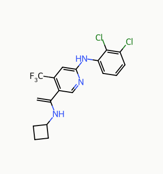 C=C(NC1CCC1)c1cnc(Nc2cccc(Cl)c2Cl)cc1C(F)(F)F